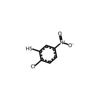 O=[N+]([O-])c1ccc(Cl)c(S)c1